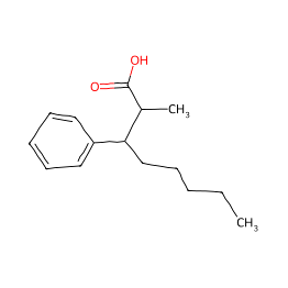 CCCCCC(c1ccccc1)C(C)C(=O)O